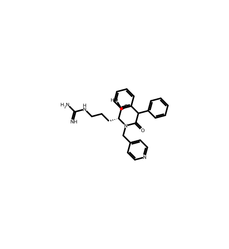 N=C(N)NCCC[C@H](C(=O)O)N(Cc1ccncc1)C(=O)C(c1ccccc1)c1ccccc1